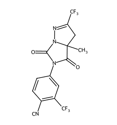 [C-]#[N+]c1ccc(N2C(=O)N3N=C(C(F)(F)F)CC3(C)C2=O)cc1C(F)(F)F